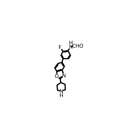 O=CNc1ccc(-c2ccc3oc(C4CCNCC4)nc3c2)cc1F